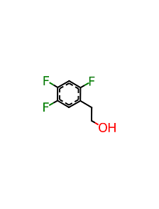 OCCc1cc(F)c(F)cc1F